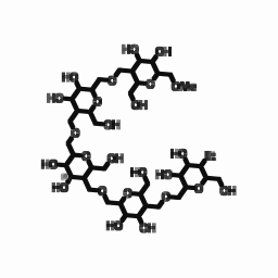 CCC1C(CO)OC(COCC2C(CO)OC(COCC3C(CO)OC(COCC4C(CO)OC(COCC5C(CO)OC(COC)C(O)C5O)C(O)C4O)C(O)[C@@H]3O)C(O)C2O)C(O)C1O